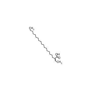 CC=C(CCCCCCCCCCCCCCCCCC)C(=O)O